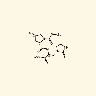 COC(=O)[C@H](C[C@@H]1CCNC1=O)NC(=O)[C@@H]1C[C@@H](C(C)(C)C)CN1C(=O)OC(C)(C)C